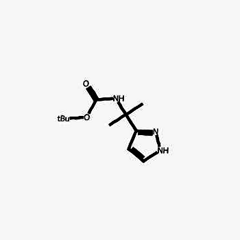 CC(C)(C)OC(=O)NC(C)(C)c1cc[nH]n1